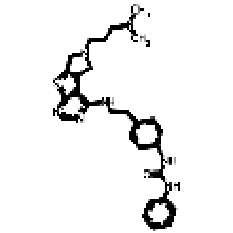 CN(C)CCCN1Cc2sc3ncnc(NCCc4ccc(NC(=O)Nc5ccccc5)cc4)c3c2C1